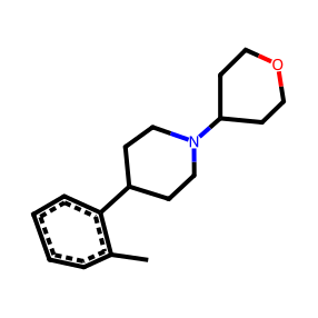 Cc1ccccc1C1CCN(C2CCOCC2)CC1